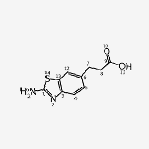 Nc1nc2ccc(CCC(=O)O)cc2s1